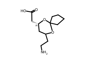 NCCC1C[C@H](CC(=O)O)OC2(CCCC2)O1